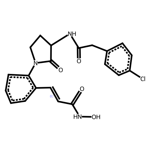 O=C(/C=C/c1ccccc1N1CCC(NC(=O)Cc2ccc(Cl)cc2)C1=O)NO